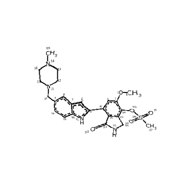 COc1cc(-c2cc3cc(CN4CCN(C)CC4)ccc3[nH]2)c2c(c1OS(C)(=O)=O)CNC2=O